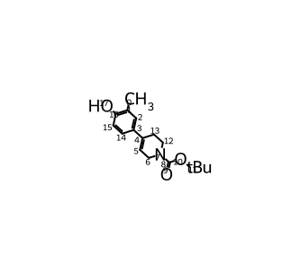 Cc1cc(C2=CCN(C(=O)OC(C)(C)C)CC2)ccc1O